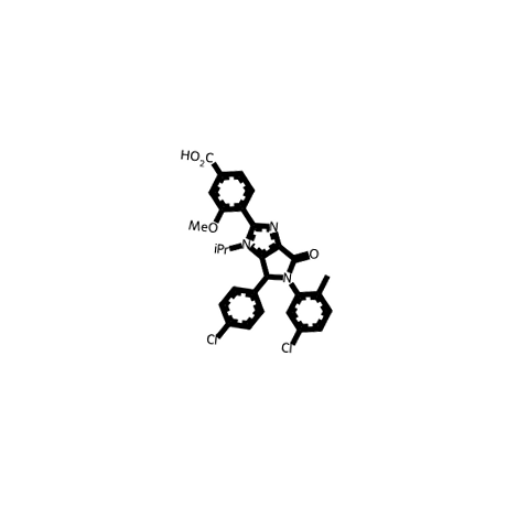 COc1cc(C(=O)O)ccc1-c1nc2c(n1C(C)C)C(c1ccc(Cl)cc1)N(c1cc(Cl)ccc1C)C2=O